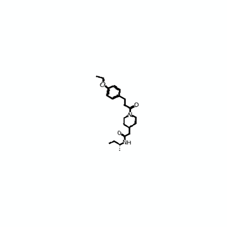 CCOc1ccc(CCC(=O)N2CCC(CC(=O)N[C@H](C)CC)CC2)cc1